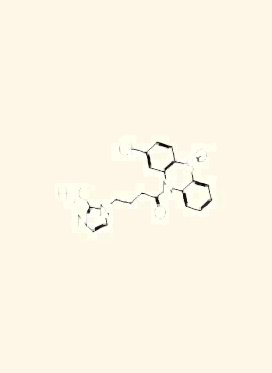 Cc1nccn1CCCC(=O)N1c2ccccc2[S+]([O-])c2ccc(Cl)cc21